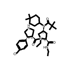 CCNC(=O)[C@@H]1C[C@H](N(C(=O)C(C)(C)C)C2CCC(C)(C)CC2)C[N+]1(CC)C(=O)[C@@H]1CNC[C@H]1c1ccc(Cl)cc1